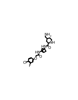 NCC1CCNC(C(=O)NC23CC(C2)C(NC(=O)COc2ccc(Cl)c(F)c2)C3)C1